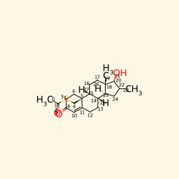 CC(=O)SC[C@]12CCC(=O)C=C1CC[C@@H]1[C@H]2CC[C@]2(C)C(O)C(C)C[C@@H]12